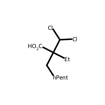 CCCCCCC(CC)(C(=O)O)C(Cl)Cl